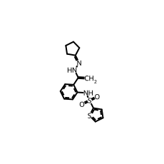 C=C(NN=C1CCCC1)c1ccccc1NS(=O)(=O)c1cccs1